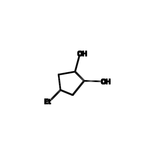 CCC1CC(O)C(O)C1